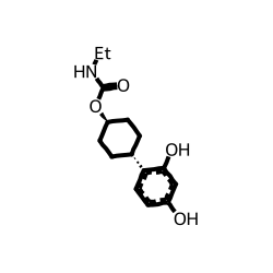 CCNC(=O)O[C@H]1CC[C@H](c2ccc(O)cc2O)CC1